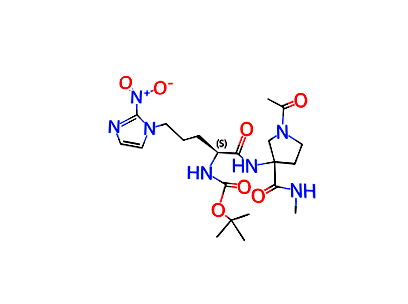 CNC(=O)C1(NC(=O)[C@H](CCCn2ccnc2[N+](=O)[O-])NC(=O)OC(C)(C)C)CCN(C(C)=O)C1